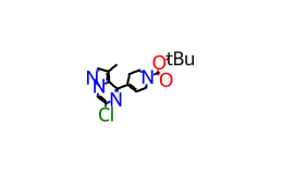 Cc1cnn2cc(Cl)nc(C3=CCN(C(=O)OC(C)(C)C)CC3)c12